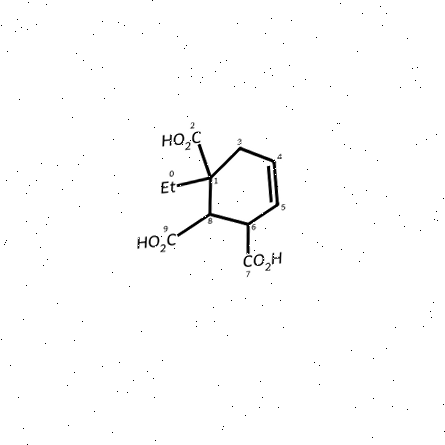 CCC1(C(=O)O)CC=CC(C(=O)O)C1C(=O)O